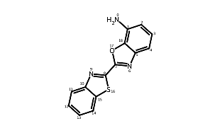 Nc1cccc2nc(-c3nc4ccccc4s3)oc12